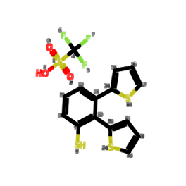 O=S(=O)(O)C(F)(F)F.Sc1cccc(-c2cccs2)c1-c1cccs1